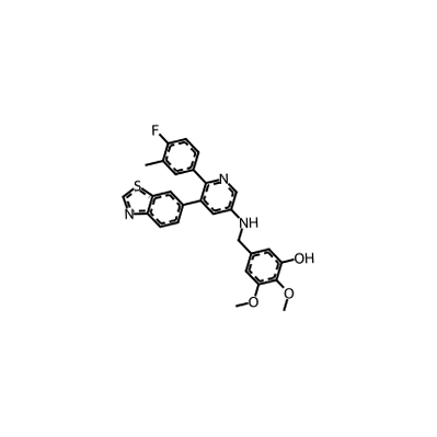 COc1cc(CNc2cnc(-c3ccc(F)c(C)c3)c(-c3ccc4ncsc4c3)c2)cc(O)c1OC